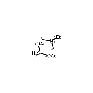 CC(=O)O[SiH2]OC(C)=O.CCN(C)C